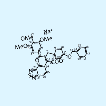 COc1cc(C(=O)C(Cc2ccc(OCc3ccccc3)cc2)=C(C(=O)[O-])c2ccc3nsnc3c2)cc(OC)c1OC.[Na+]